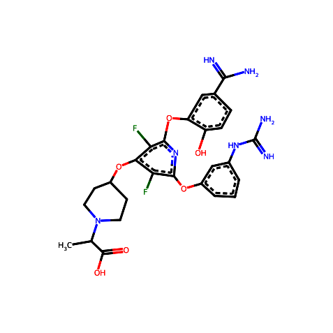 CC(C(=O)O)N1CCC(Oc2c(F)c(Oc3cccc(NC(=N)N)c3)nc(Oc3cc(C(=N)N)ccc3O)c2F)CC1